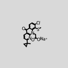 CSc1c(Cl)ccc2c(=O)c3ccc(C4(C)CC4)nc3n(CC(=O)[O-])c12.[Na+]